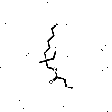 C/C=C/C(=O)OCC(C)(CC)CCCCCC